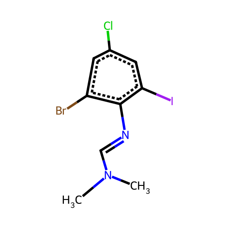 CN(C)/C=N/c1c(Br)cc(Cl)cc1I